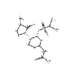 CC(C)S(=O)(=O)C[C@@H]1CC(NC(=O)O)CC[C@@H]1N1CCC(N)C1=O